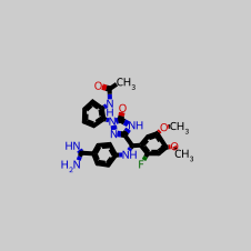 COc1cc(F)c(C(Nc2ccc(C(=N)N)cc2)c2nn(-c3ccccc3NC(C)=O)c(=O)[nH]2)cc1OC